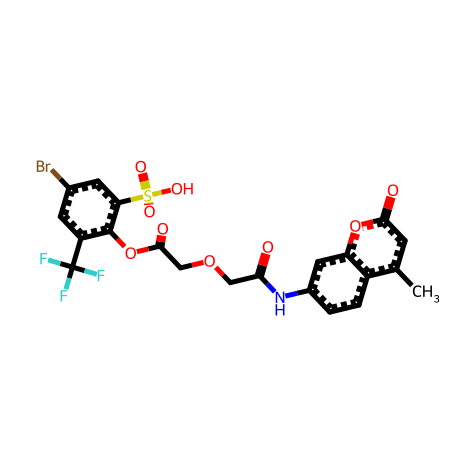 Cc1cc(=O)oc2cc(NC(=O)COCC(=O)Oc3c(C(F)(F)F)cc(Br)cc3S(=O)(=O)O)ccc12